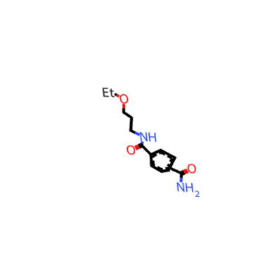 CCOCCCNC(=O)c1ccc(C(N)=O)cc1